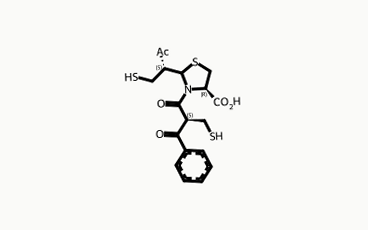 CC(=O)[C@@H](CS)C1SC[C@@H](C(=O)O)N1C(=O)[C@@H](CS)C(=O)c1ccccc1